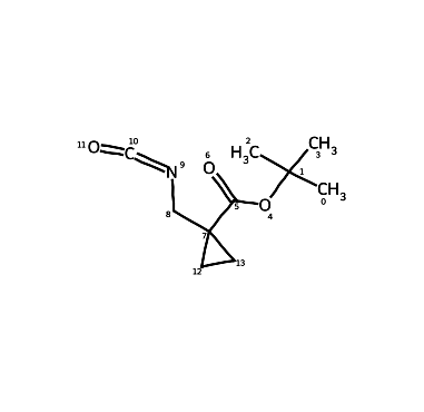 CC(C)(C)OC(=O)C1(CN=C=O)CC1